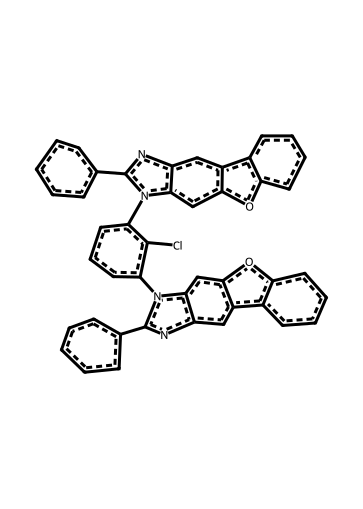 Clc1c(-n2c(-c3ccccc3)nc3cc4c(cc32)oc2ccccc24)cccc1-n1c(-c2ccccc2)nc2cc3c(cc21)oc1ccccc13